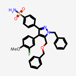 COc1ccc(-c2c(-c3ccc(S(N)(=O)=O)cc3)nn(Cc3ccccc3)c2COCc2ccccc2)cc1F